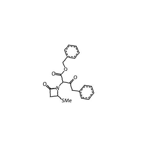 CSC1CC(=O)N1C(C(=O)Cc1ccccc1)C(=O)OCc1ccccc1